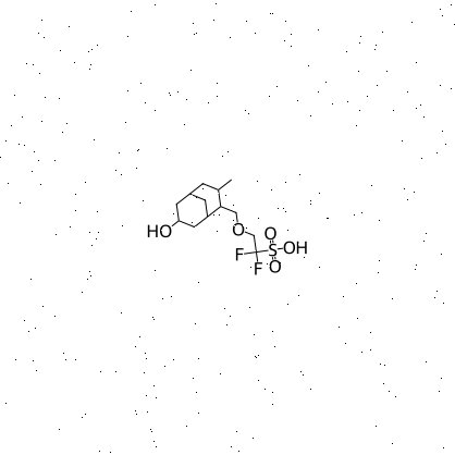 CC1CC2CC(O)CC(C2)C1COCC(F)(F)S(=O)(=O)O